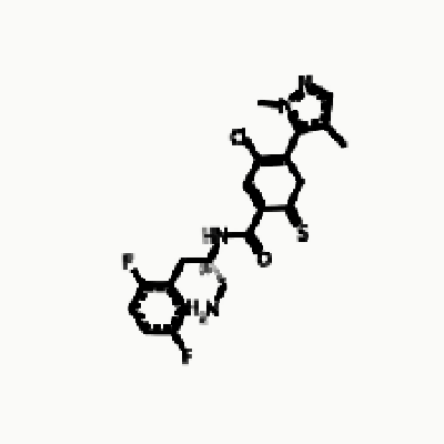 Cc1cnn(C)c1C1=C(Cl)C=C(C(=O)N[C@H](CN)Cc2cc(F)ccc2F)C(=S)C1